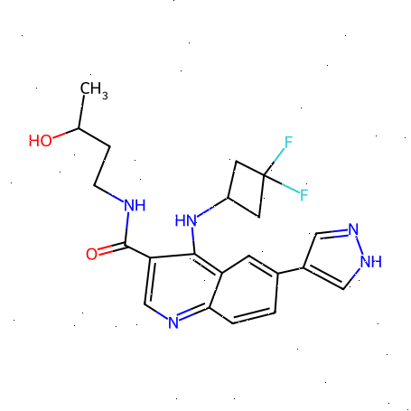 CC(O)CCNC(=O)c1cnc2ccc(-c3cn[nH]c3)cc2c1NC1CC(F)(F)C1